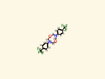 FC(F)(F)c1ccc(N2COCN(c3ccc(C(F)(F)F)cc3)COC2)cc1